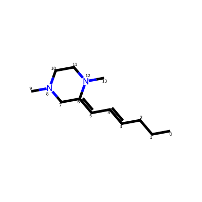 CCC/C=C/C=C1/CN(C)CCN1C